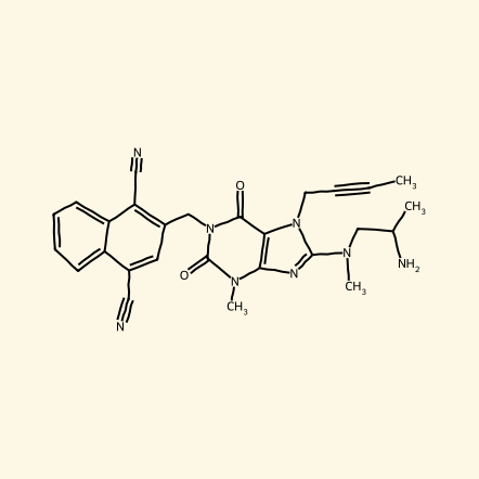 CC#CCn1c(N(C)CC(C)N)nc2c1c(=O)n(Cc1cc(C#N)c3ccccc3c1C#N)c(=O)n2C